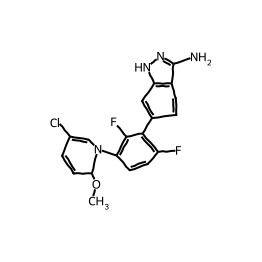 COC1C=CC(Cl)=CN1c1ccc(F)c(-c2ccc3c(N)n[nH]c3c2)c1F